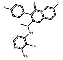 C[C@H](Nc1ncnc(N)c1C#N)c1cc2ccc(F)cn2c(=O)c1-c1ccc(F)cc1